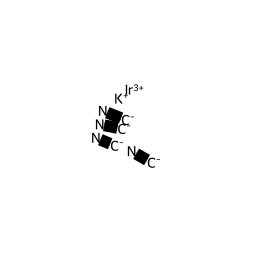 [C-]#N.[C-]#N.[C-]#N.[C-]#N.[Ir+3].[K+]